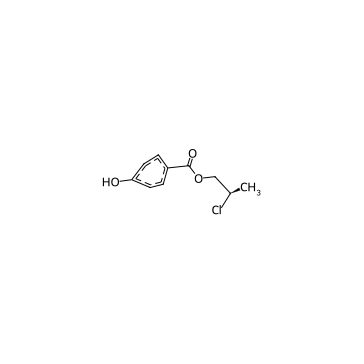 C[C@@H](Cl)COC(=O)c1ccc(O)cc1